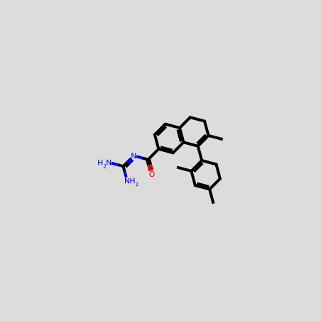 CC1=CC(C)=C(C2=C(C)CCc3ccc(C(=O)N=C(N)N)cc32)CC1